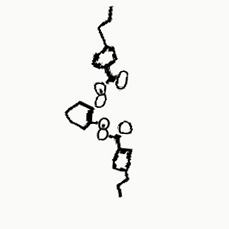 CCCc1ccc(C(=O)OOC2=C(OOC(=O)c3ccc(CCC)cc3)CCCC2)cc1